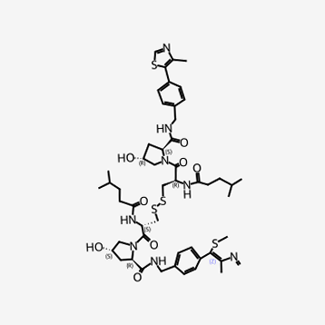 C=N/C(C)=C(\SC)c1ccc(CNC(=O)[C@H]2C[C@H](O)CN2C(=O)[C@@H](CSSC[C@H](NC(=O)CCC(C)C)C(=O)N2C[C@H](O)C[C@H]2C(=O)NCc2ccc(-c3scnc3C)cc2)NC(=O)CCC(C)C)cc1